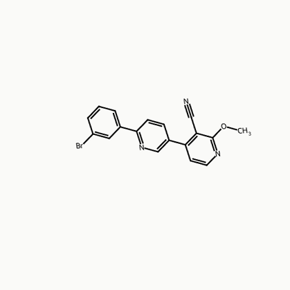 COc1nccc(-c2ccc(-c3cccc(Br)c3)nc2)c1C#N